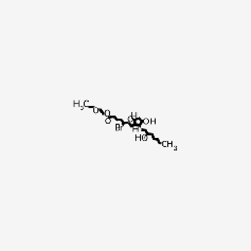 CCCCC[C@H](O)/C=C/[C@@H]1[C@H]2CC(C(Br)CCCC(=O)OCCOCCC)O[C@@H]2C[C@H]1O